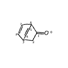 O=C1CC2C=CC1C=C2